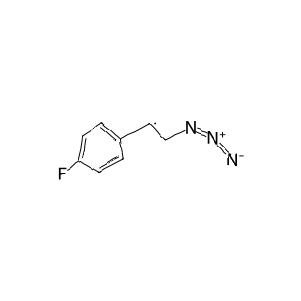 [N-]=[N+]=NC[CH]c1ccc(F)cc1